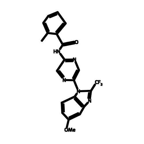 COc1ccc2c(c1)nc(C(F)(F)F)n2-c1cnc(NC(=O)c2ccccc2C)cn1